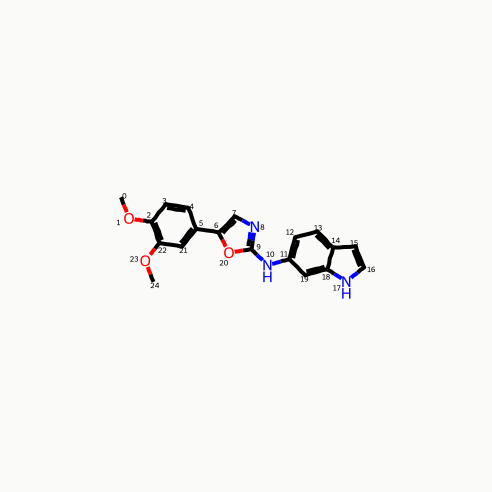 COc1ccc(-c2cnc(Nc3ccc4cc[nH]c4c3)o2)cc1OC